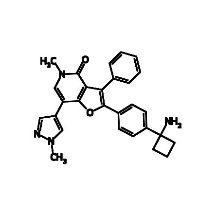 Cn1cc(-c2cn(C)c(=O)c3c(-c4ccccc4)c(-c4ccc(C5(N)CCC5)cc4)oc23)cn1